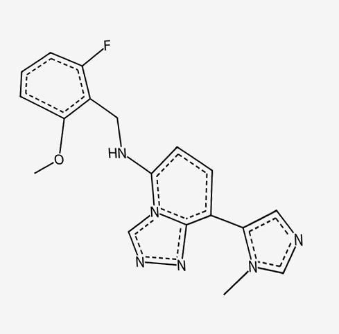 COc1cccc(F)c1CNc1ccc(-c2cncn2C)c2nncn12